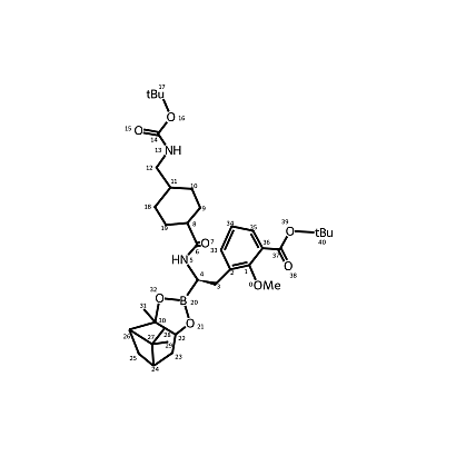 COc1c(C[C@H](NC(=O)C2CCC(CNC(=O)OC(C)(C)C)CC2)B2OC3CC4CC(C4(C)C)C3(C)O2)cccc1C(=O)OC(C)(C)C